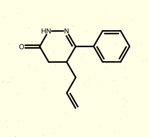 C=CCC1CC(=O)NN=C1c1ccccc1